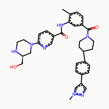 Cc1ccc(C(=O)N2CCC(c3ccc(-c4cnn(C)c4)cc3)CC2)cc1NC(=O)c1ccc(N2CCN[C@H](CO)C2)nc1